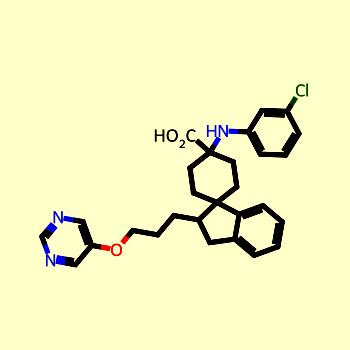 O=C(O)C1(Nc2cccc(Cl)c2)CCC2(CC1)c1ccccc1CC2CCCOc1cncnc1